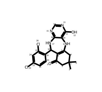 CC1(C)CC(=O)C2=C(C1)Nc1c(O)ncnc1NC2c1ccc(Cl)cc1Cl